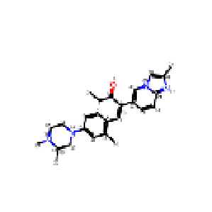 CCC(=O)/C(=C\c1ccc(N2CCN(C)[C@H](C)C2)cc1C)c1ccc2nc(C)cn2c1